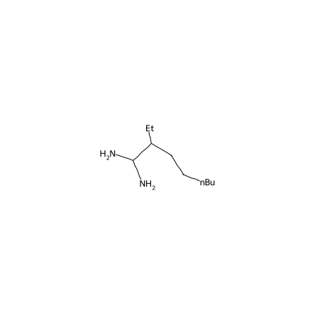 CCCCCCC(CC)C(N)N